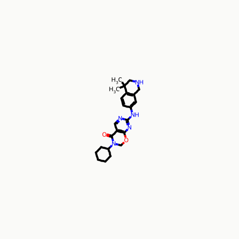 CC1(C)CNCc2cc(Nc3ncc4c(n3)OCN(C3CCCCC3)C4=O)ccc21